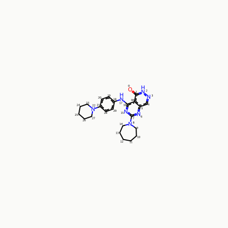 O=c1[nH]ncc2nc(N3CCCCCC3)nc(Nc3ccc(N4CC[CH]CC4)cc3)c12